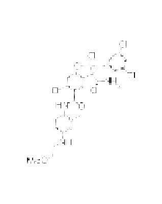 COCCNc1ccc(NC(=O)c2cc(C3(C(N)=O)C(c4cc(Cl)cc(Cl)c4)C3(Cl)Cl)ccc2Cl)c(C)c1